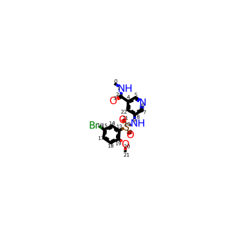 CNC(=O)c1cncc(NS(=O)(=O)c2cc(Br)ccc2OC)c1